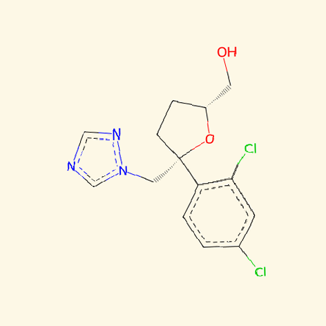 OC[C@H]1CC[C@](Cn2cncn2)(c2ccc(Cl)cc2Cl)O1